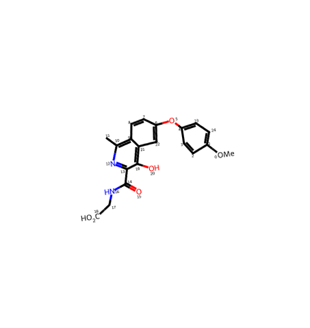 COc1ccc(Oc2ccc3c(C)nc(C(=O)NCC(=O)O)c(O)c3c2)cc1